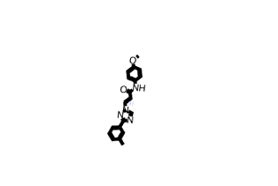 COc1ccc(NC(=O)/C=C/n2cnc(-c3cccc(C)c3)n2)cc1